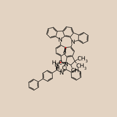 CC1C(C)(C)c2ccc(-n3c4ccccc4c4ccc5c6ccccc6n(-c6ccc(-c7nc(-c8ccccc8)nc(-c8ccc(-c9ccccc9)cc8)n7)cc6)c5c43)cc2C1(C)C